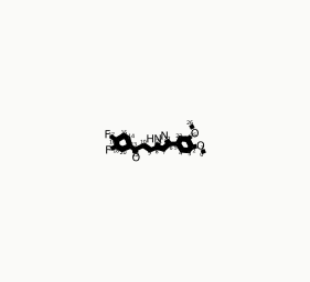 COc1ccc(-c2cc(/C=C/C(=O)c3ccc(F)c(F)c3)[nH]n2)cc1OC